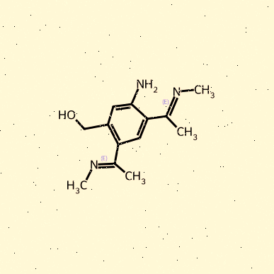 C/N=C(\C)c1cc(/C(C)=N/C)c(CO)cc1N